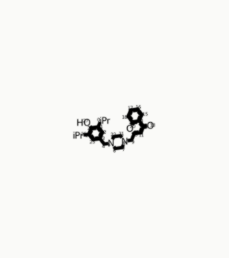 CC(C)c1cc(CN2CCN(Cc3cc(=O)c4ccccc4o3)CC2)cc(C(C)C)c1O